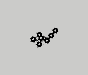 c1ccc(-c2ccc(-c3cccc4c3sc3c5ccccc5c5c(c6ccccc6n5-c5ccccc5)c43)cc2)cc1